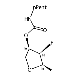 CCCCCNC(=O)O[C@@H]1CO[C@H](C)[C@@H]1F